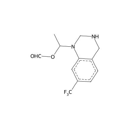 CC(OC=O)N1CNCc2ccc(C(F)(F)F)cc21